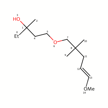 CCC(C)(O)CCOCC(C)(C)CC=COC